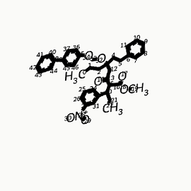 CCCC(CCc1ccccc1)(CC(=O)C(C(=O)OC)C(CC)c1cccc([N+](=O)[O-])c1)OCOc1ccc(-c2ccccc2)cc1